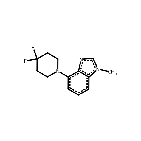 Cn1cnc2c(N3CCC(F)(F)CC3)cccc21